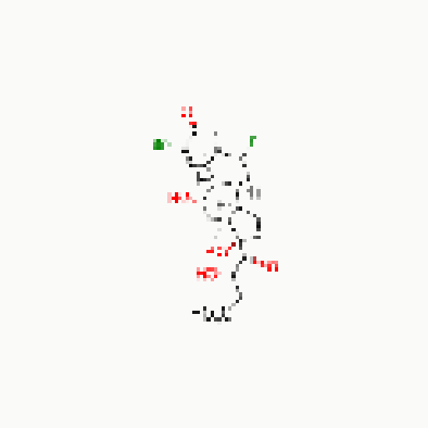 C[C@]12C=C(Br)C(=O)C=C1C(F)C[C@@H]1[C@@H]2C(O)C[C@@]2(C)[C@H]1CC[C@]2(O)C(=O)C(O)CC(=O)O